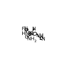 N#CCC1(n2cc(C(N)=O)c(Nc3ccnc(F)c3)n2)CCC(NCc2ccncc2)CC1